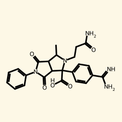 CC1C2C(=O)N(c3ccccc3)C(=O)C2C(C(=O)O)(c2ccc(C(=N)N)cc2)N1CCC(N)=O